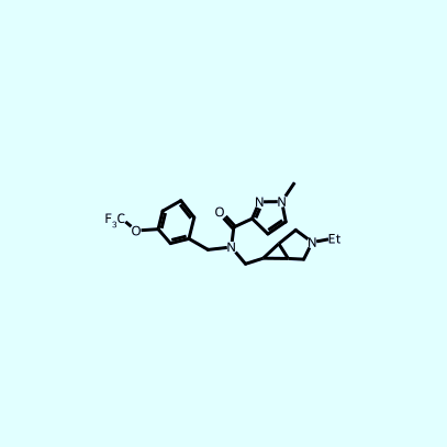 CCN1CC2C(C1)C2CN(Cc1cccc(OC(F)(F)F)c1)C(=O)c1ccn(C)n1